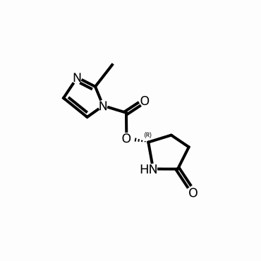 Cc1nccn1C(=O)O[C@@H]1CCC(=O)N1